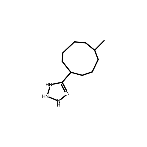 CC1CCCCC(C2=NNNN2)CCC1